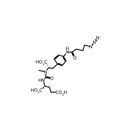 CN(C(=O)N[C@@H](CCC(=O)O)C(=O)O)[C@@H](Cc1ccc(NC(=O)CCCN=[N+]=[N-])cc1)C(=O)O